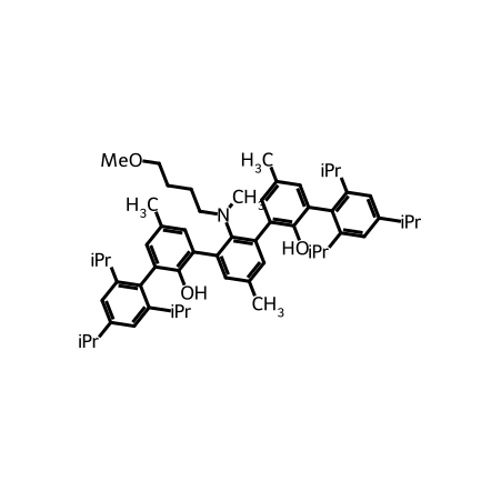 COCCCCN(C)c1c(-c2cc(C)cc(-c3c(C(C)C)cc(C(C)C)cc3C(C)C)c2O)cc(C)cc1-c1cc(C)cc(-c2c(C(C)C)cc(C(C)C)cc2C(C)C)c1O